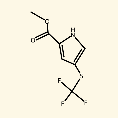 COC(=O)c1cc(SC(F)(F)F)c[nH]1